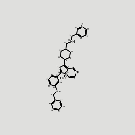 N[N+]12C=CN=CC1=C(C1CCC(CNCc3cccnc3)CC1)N=C2c1cccc(OCc2ccccc2)c1